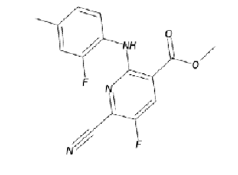 COC(=O)c1cc(F)c(C#N)nc1Nc1ccc(C)cc1F